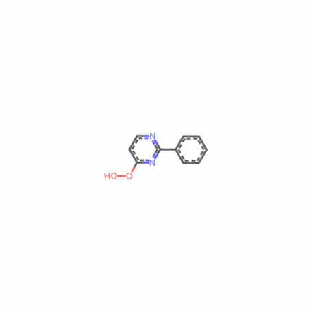 OOc1ccnc(-c2ccccc2)n1